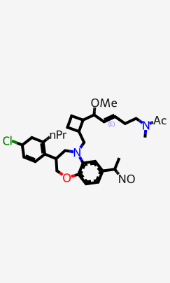 CCCC1=C(C2COc3ccc(C(C)N=O)cc3N(CC3CCC3C(/C=C/CCN(C)C(C)=O)OC)C2)C=CC(Cl)C1